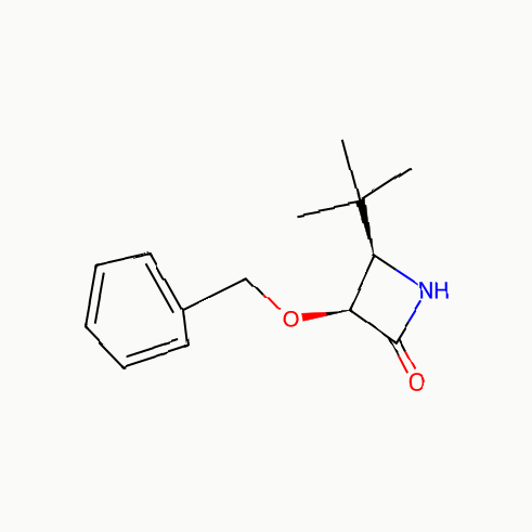 CC(C)(C)[C@H]1NC(=O)[C@H]1OCc1ccccc1